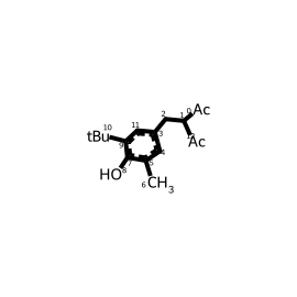 CC(=O)C(Cc1cc(C)c(O)c(C(C)(C)C)c1)C(C)=O